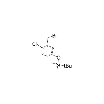 CC(C)(C)[Si](C)(C)Oc1ccc(Cl)c(CBr)c1